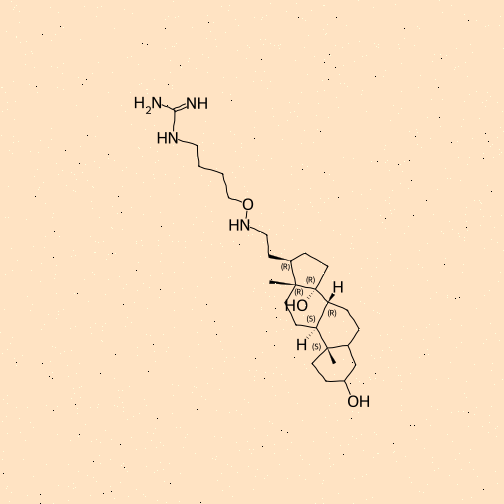 C[C@]12CCC(O)CC1CC[C@@H]1[C@@H]2CC[C@]2(C)[C@@H](CCNOCCCCNC(=N)N)CC[C@@]12O